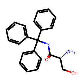 N[C@H](CO)C(=O)NC(c1ccccc1)(c1ccccc1)c1ccccc1